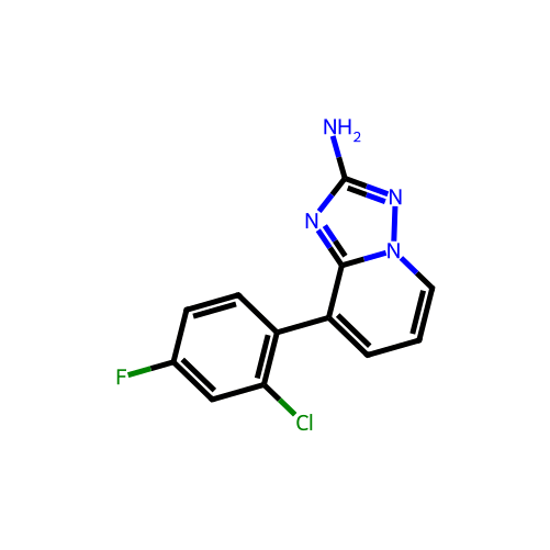 Nc1nc2c(-c3ccc(F)cc3Cl)cccn2n1